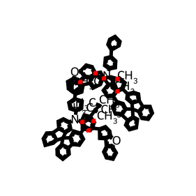 CC(C)CC(C)(Cc1ccc2oc3ccc(-c4ccc(N(c5ccc(-c6ccc7oc8ccccc8c7c6)cc5)c5ccc6c(c5)C5(c7ccccc7-c7ccc(-c8ccc(C(C)(C)C(C)(C)C)cc8)cc75)c5ccccc5-6)cc4)cc3c2c1)c1ccc(-c2ccc3c(c2)C2(c4ccccc4-c4ccc(-c5ccc(N(c6ccc(-c7ccccc7)cc6)c6ccc(-c7ccccc7)cc6)cc5)cc42)c2ccccc2-3)cc1